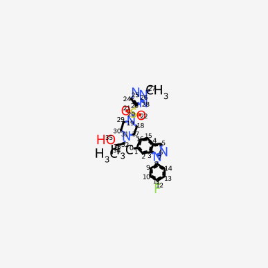 Cc1cc2c(cnn2-c2ccc(F)cc2)cc1[C@H]1CN(S(=O)(=O)c2cnn(C)n2)CCN1C[C@H](C)O